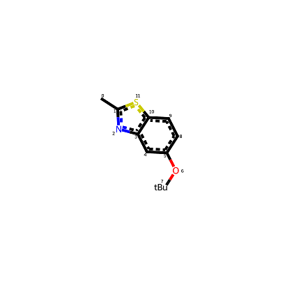 Cc1nc2cc(OC(C)(C)C)ccc2s1